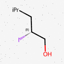 CC(C)C[C@@H](I)CO